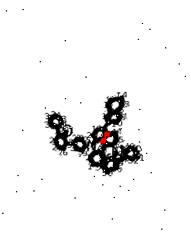 c1ccc(N(c2ccc(-c3ccc4ccccc4c3)cc2)c2ccc(-c3cccc4c3oc3ccccc34)cc2)c(-c2ccccc2-n2c3ccccc3c3ccccc32)c1